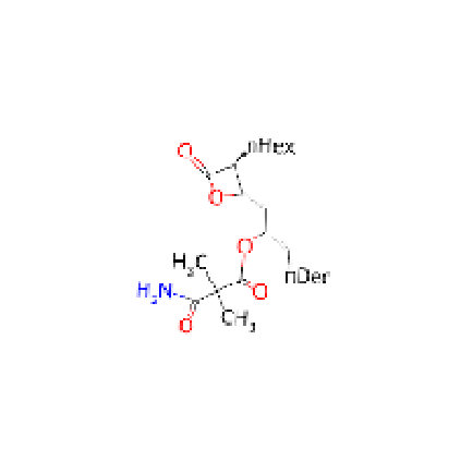 CCCCCCCCCCC[C@@H](C[C@@H]1OC(=O)[C@H]1CCCCCC)OC(=O)C(C)(C)C(N)=O